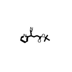 CC(C)(C)OC(=O)CCC(C#N)c1ccccn1